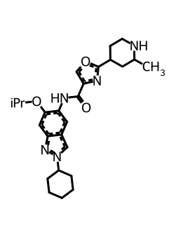 CC1CC(c2nc(C(=O)Nc3cc4cn(C5CCCCC5)nc4cc3OC(C)C)co2)CCN1